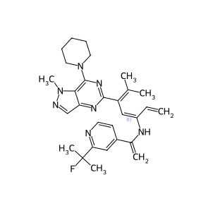 C=C/C(=C\C(=C(C)C)c1nc(N2CCCCC2)c2c(cnn2C)n1)NC(=C)c1ccnc(C(C)(C)F)c1